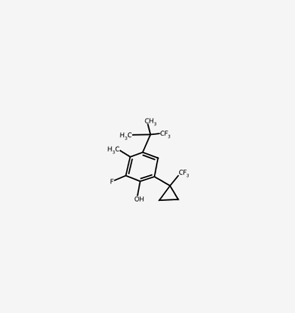 Cc1c(C(C)(C)C(F)(F)F)cc(C2(C(F)(F)F)CC2)c(O)c1F